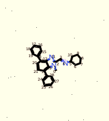 Cn1c(/C=N/C2CCCCC2)nc2c(-c3ccccc3)ccc(-c3ccccc3)c21